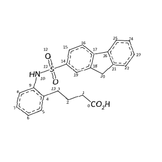 O=C(O)CCCc1ccccc1NS(=O)(=O)c1ccc2c(c1)Cc1ccccc1-2